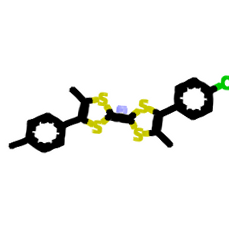 CC1=C(c2ccc(C)cc2)S/C(=C2\SC(C)=C(c3ccc(Cl)cc3)S2)S1